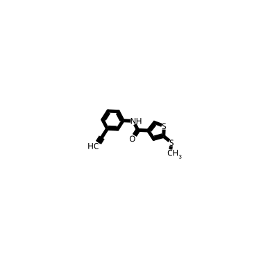 C#Cc1cccc(NC(=O)c2csc(SC)c2)c1